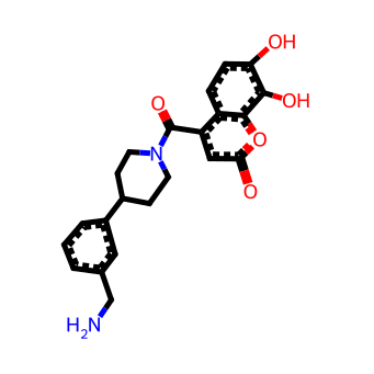 NCc1cccc(C2CCN(C(=O)c3cc(=O)oc4c(O)c(O)ccc34)CC2)c1